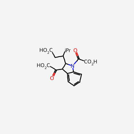 CC(C)C(CC(=O)O)C1C(C(=O)C(=O)O)c2ccccc2N1C(=O)C(=O)O